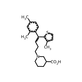 Cc1ccc(C(=CCCN2CCCC(C(=O)O)C2)c2sccc2C)c(C)c1